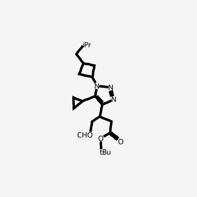 CC(C)CC1CC(n2nnc(C(CC=O)CC(=O)OC(C)(C)C)c2C2CC2)C1